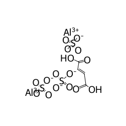 O=C(O)C=CC(=O)O.O=S(=O)([O-])[O-].O=S(=O)([O-])[O-].O=S(=O)([O-])[O-].[Al+3].[Al+3]